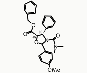 COc1ccc(C2O[C@@H](C(=O)OCc3ccccc3)[C@H](c3ccccc3)N2C(=O)N(C)C)cc1